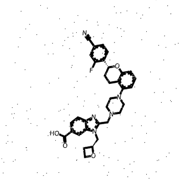 N#Cc1ccc([C@H]2CCc3c(cccc3N3CCN(Cc4nc5ccc(C(=O)O)cc5n4C[C@@H]4CCO4)CC3)O2)c(F)c1